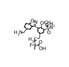 CCc1cc(-c2noc3ccc(CN)cc23)c(OC)c(S(N)(=O)=O)c1.O=C(O)C(F)(F)F